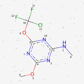 CNc1nc(OC)nc(OC(F)(F)Cl)n1